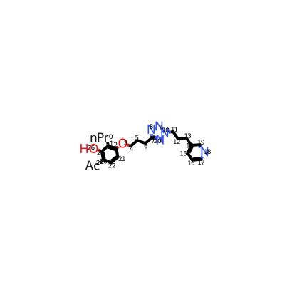 CCCc1c(OCCCc2nnn(CCCc3cccnc3)n2)ccc(C(C)=O)c1O